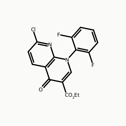 CCOC(=O)c1cn(-c2c(F)cccc2F)c2nc(Cl)ccc2c1=O